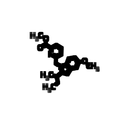 CCC(C)c1cc2cc(OC)ccc2n1Cc1cccc(C(=O)OC)n1